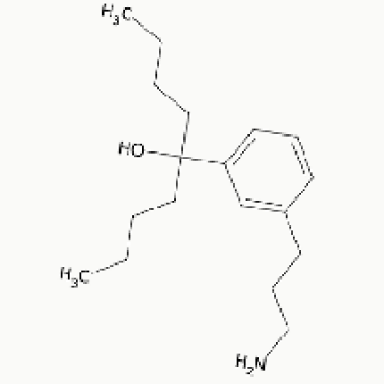 CCCCC(O)(CCCC)c1cccc(CCCN)c1